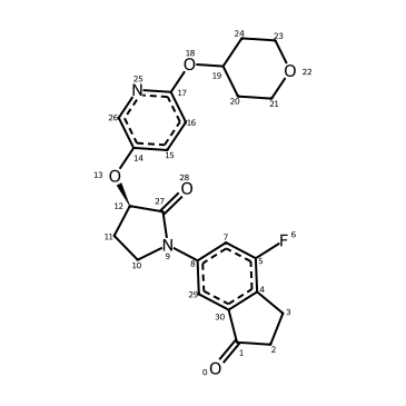 O=C1CCc2c(F)cc(N3CC[C@@H](Oc4ccc(OC5CCOCC5)nc4)C3=O)cc21